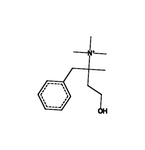 CC(CCO)(Cc1ccccc1)[N+](C)(C)C